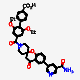 CCOc1cc(C(=O)N2CCC3(CC2)CC(=O)c2cc(-c4cncc(C(N)=O)c4)ccc2O3)cc(OCC)c1-c1ccc(C(=O)O)cc1